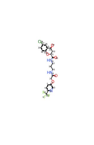 O=C(COc1ccc(C(F)(F)F)nc1)NCCCNC(=O)[C@@H]1CC(=O)c2cc(Cl)ccc2O1